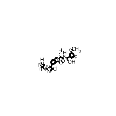 COc1cc(F)cc([C@@H](CO)NC(=O)[C@@H](C)N2Cc3ccc(-c4nc(Nc5cn[nH]c5)ncc4Cl)cc3C2=O)c1